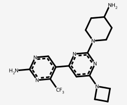 Nc1ncc(-c2cc(N3CCC3)nc(N3CCC(N)CC3)n2)c(C(F)(F)F)n1